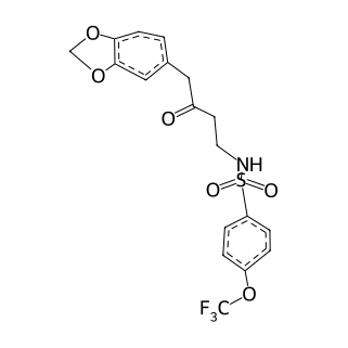 O=C(CCNS(=O)(=O)c1ccc(OC(F)(F)F)cc1)Cc1ccc2c(c1)OCO2